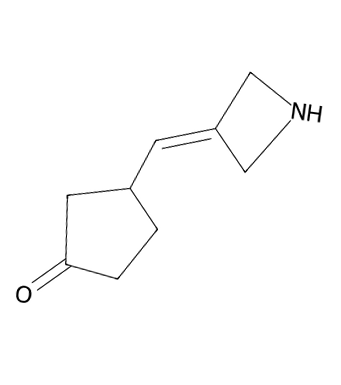 O=C1CCC(C=C2CNC2)C1